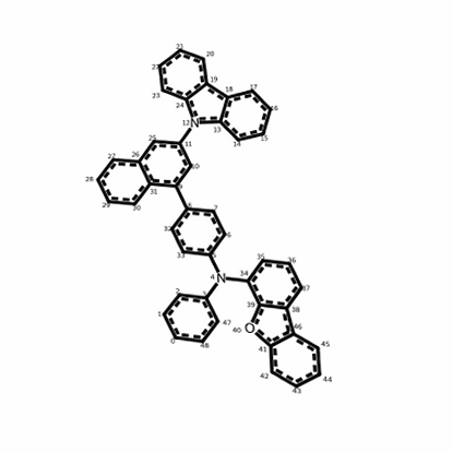 c1ccc(N(c2ccc(-c3cc(-n4c5ccccc5c5ccccc54)cc4ccccc34)cc2)c2cccc3c2oc2ccccc23)cc1